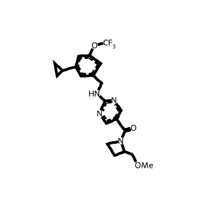 COCC1CCN1C(=O)c1cnc(NCc2cc(OC(F)(F)F)cc(C3CC3)c2)nc1